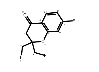 O=C1CC(CF)(CF)Oc2cc(F)ccc21